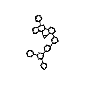 c1ccc(-c2cc(-c3ccc(-c4cccc(-c5cccc6c5C5CC5c5c-6cc(-c6ccccc6)c6ccccc56)c4)cc3)nc(-c3ccccc3)n2)cc1